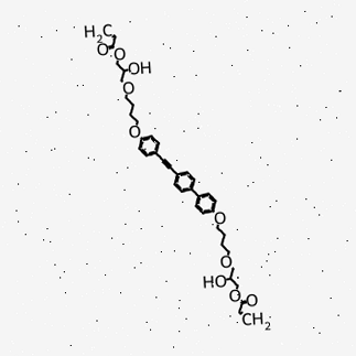 C=CC(=O)OCC(O)COCCCCOc1ccc(C#Cc2ccc(-c3ccc(OCCCCOCC(O)COC(=O)C=C)cc3)cc2)cc1